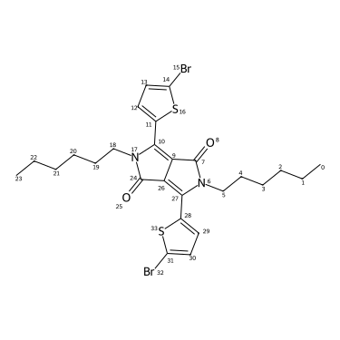 CCCCCCN1C(=O)C2=C(c3ccc(Br)s3)N(CCCCCC)C(=O)C2=C1c1ccc(Br)s1